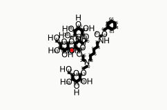 O=C(NCCCCCCN(CCO[C@H]1O[C@H](CO)[C@@H](O)[C@H](O)[C@@H]1O)CCO[C@H]1O[C@H](CO[C@H]2O[C@H](CO)[C@@H](O)[C@H](O)[C@@H]2O)[C@@H](O)[C@H](O[C@H]2O[C@H](CO)[C@@H](O)[C@H](O)[C@@H]2O)[C@@H]1O)OCc1ccccc1